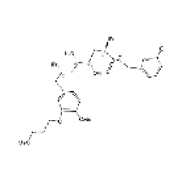 COCCCOc1cc(C[C@@H](C[C@H](N)[C@@H](O)C[C@H](C(=O)NCc2cccc(Cl)c2)C(C)C)C(C)C)ccc1OC